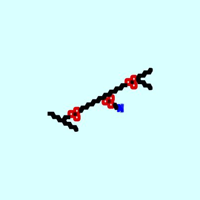 CCCCCC(CCCCC)CCOC(=O)OCCCCCCCCC(CCCCCCCCOC(=O)OC(CCCCC)CCCCC)OC(=O)OCCN(C)C